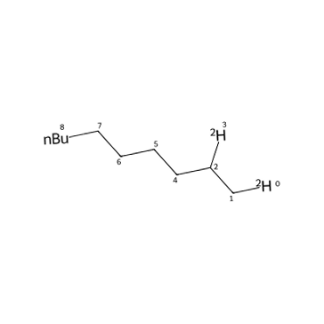 [2H]CC([2H])CCCCCCCC